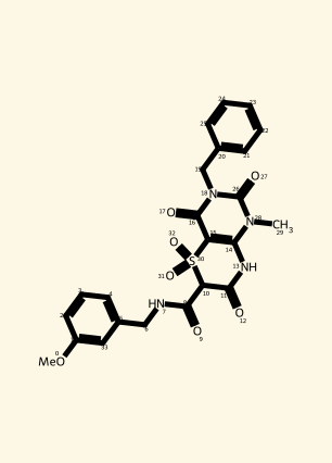 COc1cccc(CNC(=O)C2C(=O)Nc3c(c(=O)n(Cc4ccccc4)c(=O)n3C)S2(=O)=O)c1